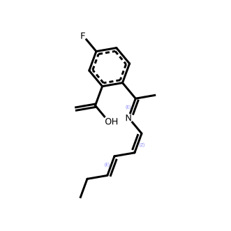 C=C(O)c1cc(F)ccc1/C(C)=N/C=C\C=C\CC